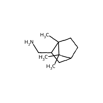 CC1(C)C2CCC1(C)C(CN)C2